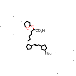 CCCCC1CCC(CC=C[C@H]2CCC[C@@H]2CCCCCC(OC2CCCCO2)C(=O)O)C1